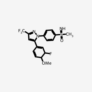 COC1C=CC(c2cc(C(F)(F)F)nn2-c2ccc(S(C)(=N)=O)cc2)=CC1F